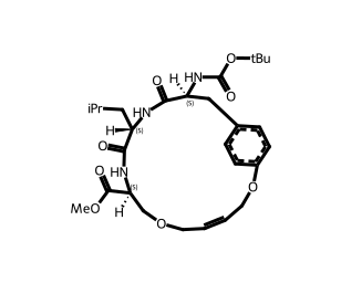 COC(=O)[C@@H]1COCC=CCOc2ccc(cc2)C[C@H](NC(=O)OC(C)(C)C)C(=O)N[C@@H](CC(C)C)C(=O)N1